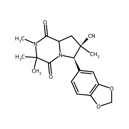 CN1C(=O)C2C[C@@](C)(C#N)[C@@H](c3ccc4c(c3)OCO4)N2C(=O)C1(C)C